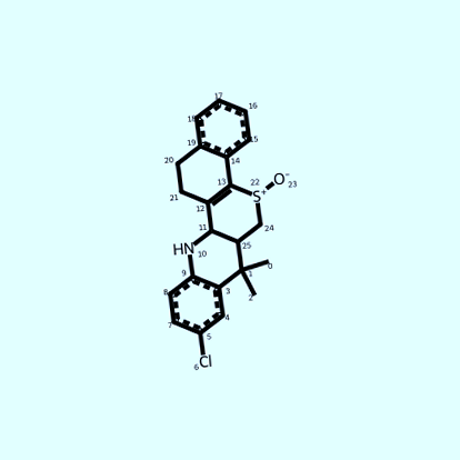 CC1(C)c2cc(Cl)ccc2NC2C3=C(c4ccccc4CC3)[S+]([O-])CC21